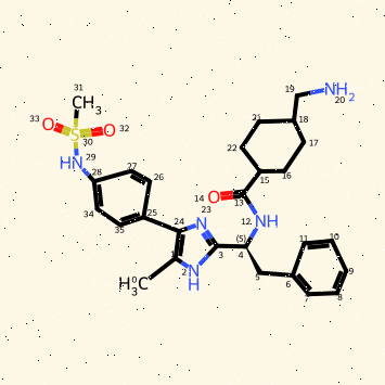 Cc1[nH]c([C@H](Cc2ccccc2)NC(=O)C2CCC(CN)CC2)nc1-c1ccc(NS(C)(=O)=O)cc1